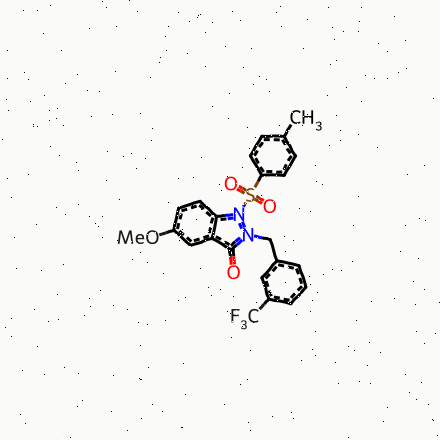 COc1ccc2c(c1)c(=O)n(Cc1cccc(C(F)(F)F)c1)n2S(=O)(=O)c1ccc(C)cc1